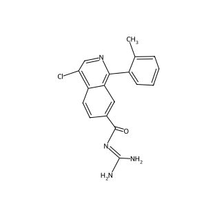 Cc1ccccc1-c1ncc(Cl)c2ccc(C(=O)N=C(N)N)cc12